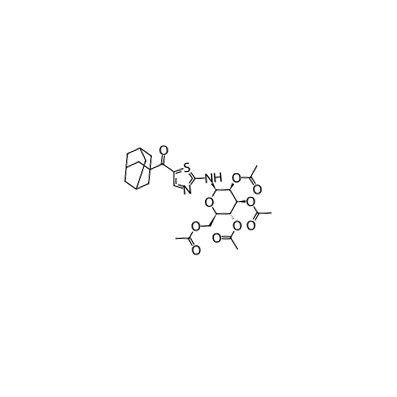 CC(=O)OC[C@H]1O[C@@H](Nc2ncc(C(=O)C34CC5CC(CC(C5)C3)C4)s2)[C@@H](OC(C)=O)[C@@H](OC(C)=O)[C@@H]1OC(C)=O